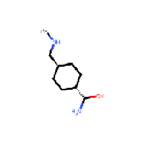 CC(C)NC[C@H]1CC[C@H](C(N)O)CC1